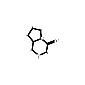 O=C1CSCC2CCCN12